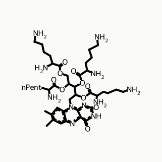 CCCCCC(N)C(=O)OC(COC(=O)C(N)CCCCN)C(OC(=O)C(N)CCCCN)C(Cn1c2nc(=O)[nH]c(=O)c-2nc2cc(C)c(C)cc21)OC(=O)C(N)CCCCN